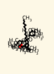 CCCCCCCCCCCCC(Cc1cc(C(C)(C)C)c(O)c(C(C)(C)C)c1)(C(=O)OC1CC(C)(C)N(C)C(C)(C)C1)C(=O)OC1CC(C)(C)N(C)C(C)(C)C1